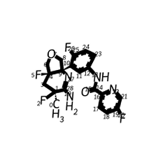 C[C@]1(F)C[C@]2(F)COC[C@]2(c2cc(NC(=O)c3ccc(F)cn3)ccc2F)N=C1N